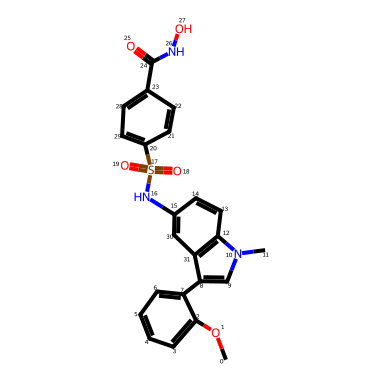 COc1ccccc1-c1cn(C)c2ccc(NS(=O)(=O)c3ccc(C(=O)NO)cc3)cc12